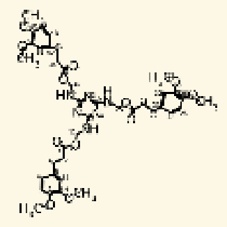 COc1ccc(CCC(=O)OCNc2nc(NCOC(=O)CCc3ccc(OC)c(OC)c3)nc(NCOC(=O)CCc3ccc(OC)c(OC)c3)n2)cc1OC